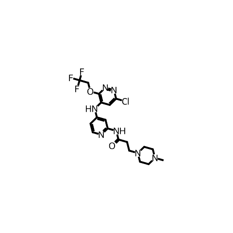 CN1CCN(CCC(=O)Nc2cc(Nc3cc(Cl)nnc3OCC(F)(F)F)ccn2)CC1